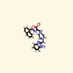 O=C1OC(c2cccc3ccccc23)=NC1=CN1CCN(Cc2nc3ccccc3[nH]2)CC1